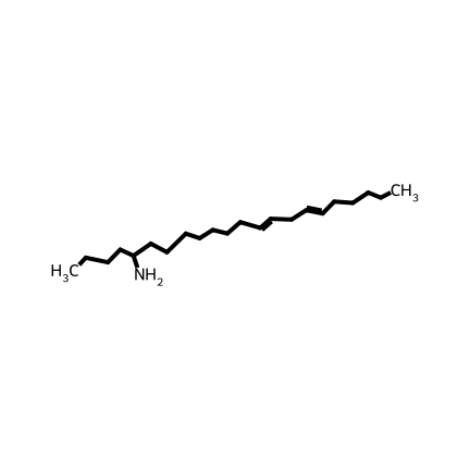 CCCCC/C=C/C/C=C/CCCCCCCC(N)CCCC